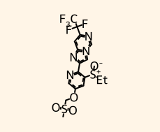 CC[S+]([O-])c1cc(OCS(C)(=O)=O)cnc1-c1cn2cnc(C(F)(F)C(F)(F)F)cc2n1